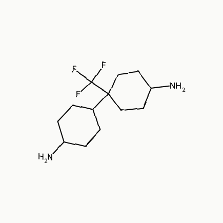 NC1CCC(C2(C(F)(F)F)CCC(N)CC2)CC1